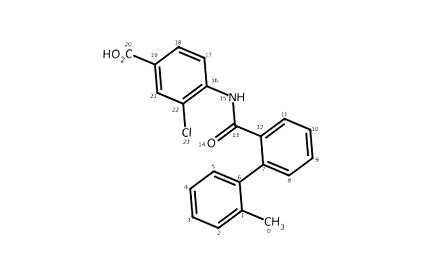 Cc1ccccc1-c1ccccc1C(=O)Nc1ccc(C(=O)O)cc1Cl